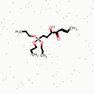 CC=CC(=O)C(O)CC[Si](OCCC)(OCCC)OCCC